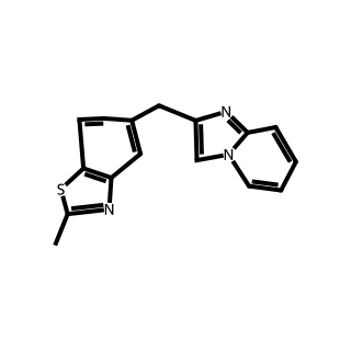 Cc1nc2cc(Cc3cn4ccccc4n3)ccc2s1